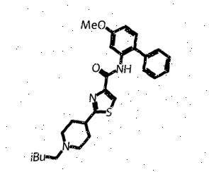 CCC(C)CN1CCC(c2nc(C(=O)Nc3cc(OC)ccc3-c3ccccc3)cs2)CC1